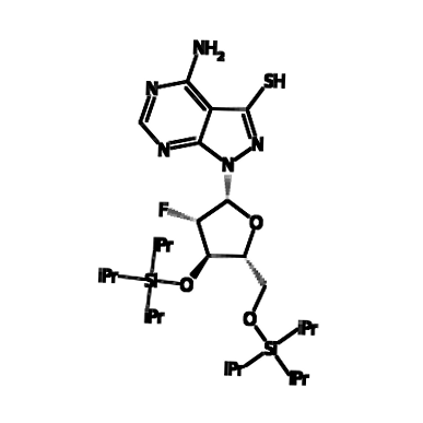 CC(C)[Si](OC[C@H]1O[C@@H](n2nc(S)c3c(N)ncnc32)[C@@H](F)[C@@H]1O[Si](C(C)C)(C(C)C)C(C)C)(C(C)C)C(C)C